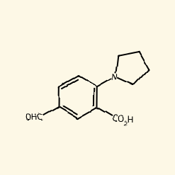 O=Cc1ccc(N2CCCC2)c(C(=O)O)c1